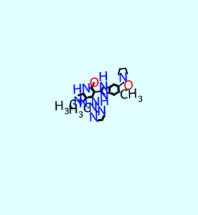 Cc1cc2nc(-c3c(NN(C)c4ncccn4)c4nn(C)cc4[nH]c3=O)[nH]c2cc1C(=O)N1CCCC1